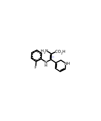 N/C(C(=O)O)=C(\Nc1ccccc1F)C1=CC=CNC1